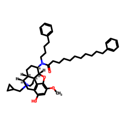 COc1cc(O)c2c3c1O[C@H]1[C@H](N(CCCCc4ccccc4)C(=O)CCCCCCCCCCc4ccccc4)CC[C@H]4[C@@H](C2)N(CC2CC2)CC[C@@]341